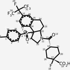 Cc1ccc(S(=O)(=O)C23CCN(C(=O)[C@H]4CC[C@](F)(C(=O)O)CC4)C2CCc2cc(C(F)(C(F)(F)F)C(F)(F)F)ccc23)cc1